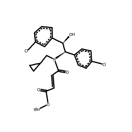 CC(C)(C)OC(=O)/C=C/C(=O)N(CC1CC1)[C@H](c1ccc(Cl)cc1)[C@H](O)c1cccc(Cl)c1